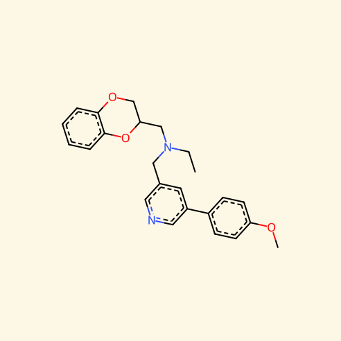 CCN(Cc1cncc(-c2ccc(OC)cc2)c1)CC1COc2ccccc2O1